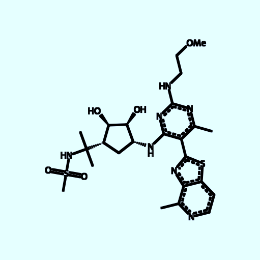 COCCNc1nc(C)c(-c2nc3c(C)nccc3s2)c(N[C@@H]2C[C@H](C(C)(C)NS(C)(=O)=O)[C@@H](O)[C@H]2O)n1